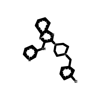 Clc1cccc(CN2CCN(c3nc4ccccc4nc3Nc3cccnc3)CC2)c1